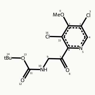 COc1c(Cl)cnc(C(=O)CNC(=O)OC(C)(C)C)c1Cl